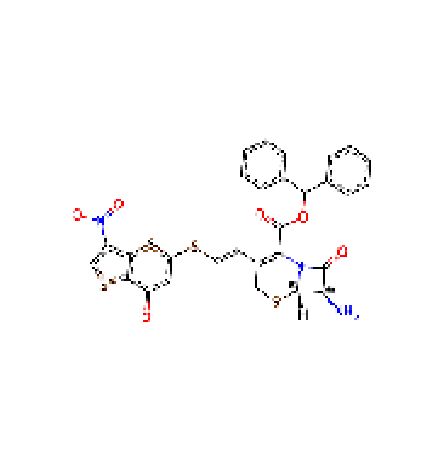 N[C@@H]1C(=O)N2C(C(=O)OC(c3ccccc3)c3ccccc3)=C(C=CSc3cc(=O)c4scc([N+](=O)[O-])c4s3)CS[C@@H]12